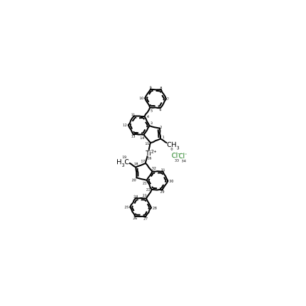 CC1=Cc2c(-c3ccccc3)cccc2[CH]1[Ti+2][CH]1C(C)=Cc2c(-c3ccccc3)cccc21.[Cl-].[Cl-]